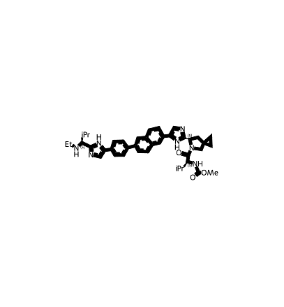 CCN[C@H](c1ncc(-c2ccc(-c3ccc4cc(-c5cnc([C@@H]6CC7(CC7)CN6C(=O)[C@@H](NC(=O)OC)C(C)C)[nH]5)ccc4c3)cc2)[nH]1)C(C)C